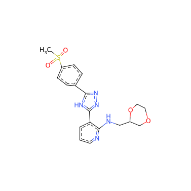 CS(=O)(=O)c1ccc(-c2nnc(-c3cccnc3NCC3COCCO3)[nH]2)cc1